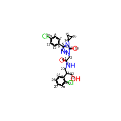 O=C(Cn1nc(-c2ccc(Cl)cc2)n(C2CC2)c1=O)NCC(CO)c1ccccc1Cl